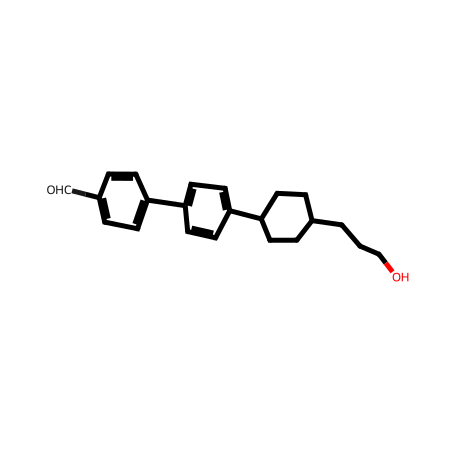 O=Cc1ccc(-c2ccc(C3CCC(CCCO)CC3)cc2)cc1